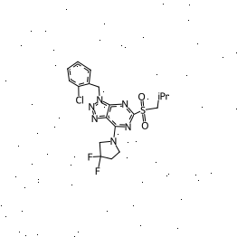 CC(C)CS(=O)(=O)c1nc(N2CCC(F)(F)C2)c2nnn(Cc3ccccc3Cl)c2n1